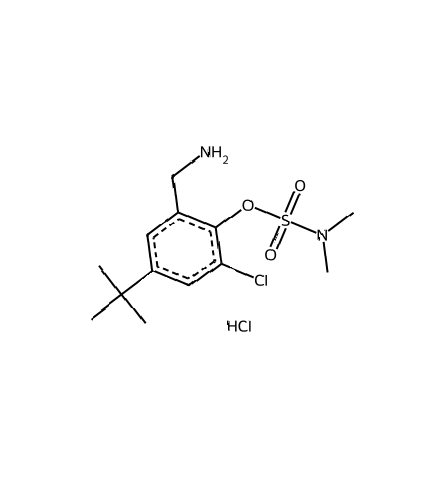 CN(C)S(=O)(=O)Oc1c(Cl)cc(C(C)(C)C)cc1CN.Cl